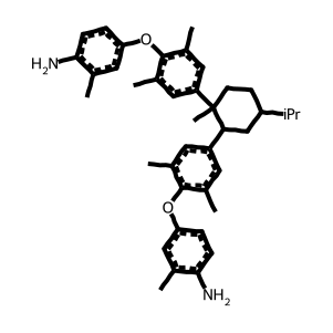 Cc1cc(Oc2c(C)cc(C3CC(C(C)C)CCC3(C)c3cc(C)c(Oc4ccc(N)c(C)c4)c(C)c3)cc2C)ccc1N